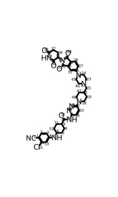 N#Cc1ccc(NC2CCC(C(=O)Nc3ccc(N4CCC(CN5CCN(c6ccc7c(c6)C(=O)N(C6CCC(=O)NC6=O)C7=O)CC5)CC4)nn3)CC2)cc1Cl